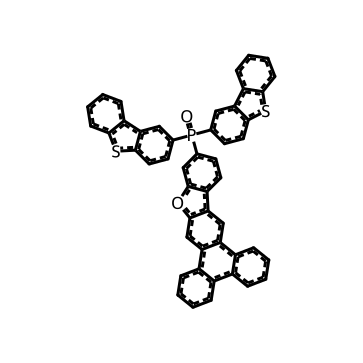 O=P(c1ccc2c(c1)oc1cc3c4ccccc4c4ccccc4c3cc12)(c1ccc2sc3ccccc3c2c1)c1ccc2sc3ccccc3c2c1